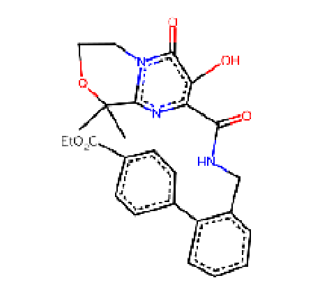 CCOC(=O)c1ccc(-c2ccccc2CNC(=O)c2nc3n(c(=O)c2O)CCOC3(C)C)cc1